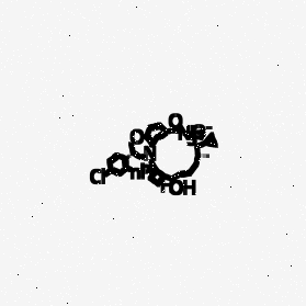 CCCc1cc(Cl)ccc1[C@@H]1COc2ccc3cc2N(C1)C[C@@H]1CC[C@H]1C(O)/C=C/C[C@@H](C)C(C1CC1)[S+]([O-])NC3=O